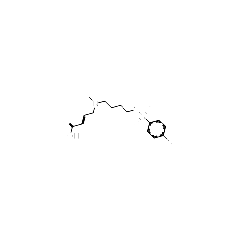 CN(CC=CC(=O)O)CCCCNS(=O)(=O)c1ccc(N)cc1